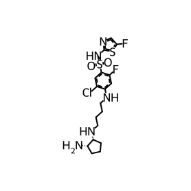 N[C@H]1CCC[C@H]1NCCCCNc1cc(F)c(S(=O)(=O)Nc2ncc(F)s2)cc1Cl